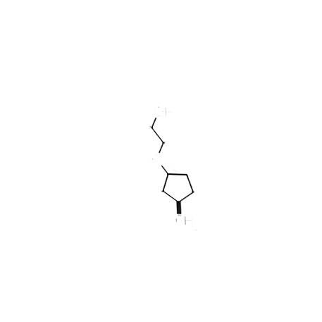 C=C1CCC(OCCO)C1